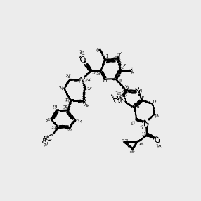 Cc1cc(C)c(-c2nc3c([nH]2)CN(C(=O)C2CC2)CC3)cc1C(=O)N1CCC(c2ccc(C#N)cc2)CC1